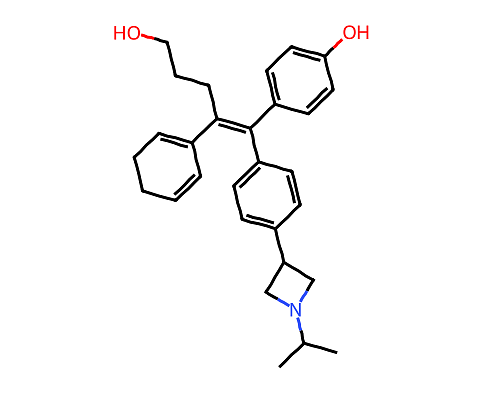 CC(C)N1CC(c2ccc(/C(=C(/CCCO)C3=CCCC=C3)c3ccc(O)cc3)cc2)C1